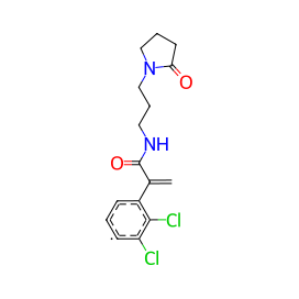 C=C(C(=O)NCCCN1CCCC1=O)c1cc[c]c(Cl)c1Cl